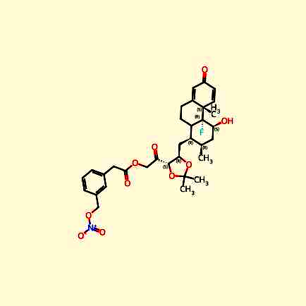 C[C@@H]1C[C@H](O)[C@@]2(F)C(CCC3=CC(=O)C=C[C@@]32C)[C@@H]1C[C@H]1OC(C)(C)O[C@@H]1C(=O)COC(=O)Cc1cccc(CO[N+](=O)[O-])c1